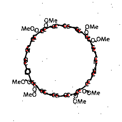 COCOC12CCC(OCOC)(CC1)c1ccc(cc1)-c1ccc(nc1)-c1ccc(cn1)-c1ccc(cc1)C1(OCOC)CCC(OCOC)(CC1)c1ccc(cc1)-c1ccc(cc1)-c1ccc(cc1)C1(OCOC)CCC(OCOC)(CC1)c1ccc(cc1)-c1ccc(nc1)-c1ccc(cn1)-c1ccc(cc1)C1(OCOC)CCC(OCOC)(CC1)c1ccc(cc1)-c1ccc(cc1)-c1ccc2cc1